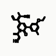 C=C/C(=C(\C)C#N)c1cc(-c2cc(C)cc(OCC)c2)c(=O)n(C(=C)C=N)c1